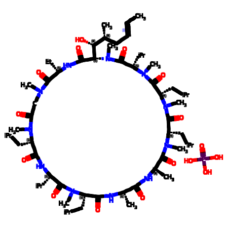 C/C=C/C[C@@H](C)[C@@H](O)[C@H]1C(=O)N[C@@H](CC)C(=O)N(C)CC(=O)N(C)[C@@H](CC(C)C)C(=O)N[C@@H](C(C)C)C(=O)N(C)[C@@H](CC(C)C)C(=O)N[C@@H](C)C(=O)N[C@H](C)C(=O)N(C)[C@@H](CC(C)C)C(=O)N(C)[C@@H](CC(C)C)C(=O)N(C)[C@@H](C(C)C)C(=O)N1C.O=P(O)(O)O